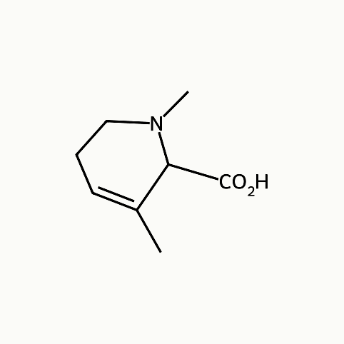 CC1=CCCN(C)C1C(=O)O